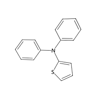 c1ccc(N(c2ccccc2)c2cccs2)cc1